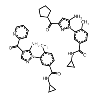 Cc1ccc(C(=O)NC2CC2)cc1-n1nc(C(=O)C2CCCC2)cc1N.Cc1ccc(C(=O)NC2CC2)cc1-n1ncc(C(=O)c2ccccn2)c1N